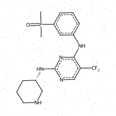 CP(C)(=O)c1cccc(Nc2nc(N[C@H]3CCCNC3)ncc2C(F)(F)F)c1